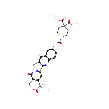 CCc1c2c(nc3ccc(OC(=O)N4CCC(C(=O)OC(C)(C)C)(C(=O)OC(C)(C)C)CC4)cc13)-c1cc3c(c(=O)n1C2)COC(=O)[C@]3(O)CC